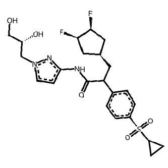 O=C(Nc1ccn(C[C@@H](O)CO)n1)C(C[C@H]1C[C@@H](F)[C@@H](F)C1)c1ccc(S(=O)(=O)C2CC2)cc1